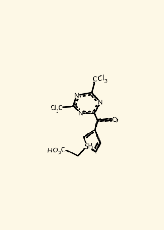 O=C(O)C[SH]1C=CC(C(=O)c2nc(C(Cl)(Cl)Cl)nc(C(Cl)(Cl)Cl)n2)=C1